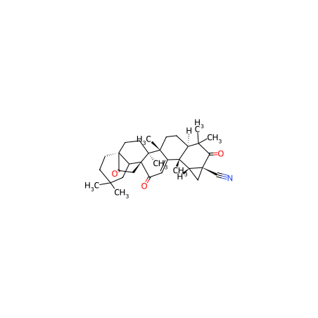 CC1(C)CC[C@@]23CC[C@@]4(C)[C@]5(C)CC[C@H]6C(C)(C)C(=O)[C@]7(C#N)C[C@@H]7[C@]6(C)C5=CC(=O)[C@]4(CC2=O)C3C1